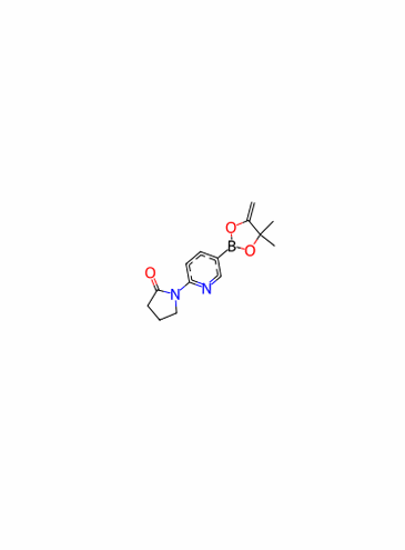 C=C1OB(c2ccc(N3CCCC3=O)nc2)OC1(C)C